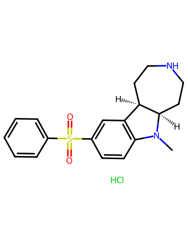 CN1c2ccc(S(=O)(=O)c3ccccc3)cc2[C@H]2CCNCC[C@H]21.Cl